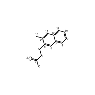 CC(=O)CCc1cc2ccccc2cc1C